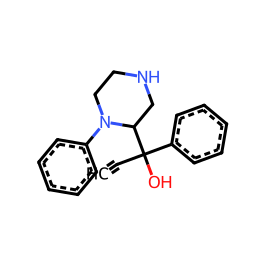 C#CC(O)(c1ccccc1)C1CNCCN1c1ccccc1